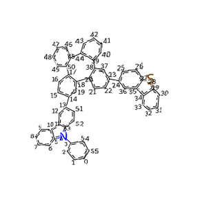 c1ccc(-n2c3ccccc3c3cc(-c4ccc5c(c4)-c4ccc(-c6ccc7sc8ccccc8c7c6)cc4-c4ccccc4-c4ccccc4-5)ccc32)cc1